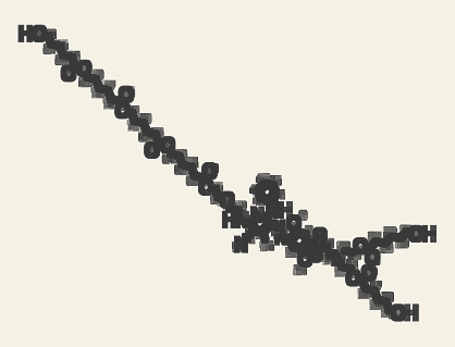 COc1cc(S(=O)(=O)CCN(CCOC(=O)CCCCCO)CCOC(=O)CCCCCO)c(OC)cc1/N=N/c1c(Nc2ccccc2)nc(NCCOCCOC(=O)CCCCCOC(=O)CCCCCOC(=O)CCCCCOC(=O)CCCCCO)c(C#N)c1C